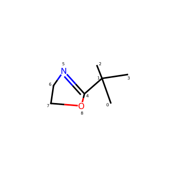 CC(C)(C)C1=NCCO1